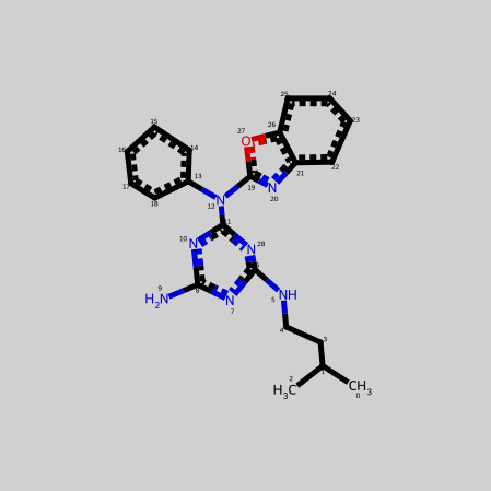 CC(C)CCNc1nc(N)nc(N(c2ccccc2)c2nc3ccccc3o2)n1